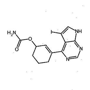 NC(=O)OC1C=C(c2ncnc3[nH]cc(I)c23)CCC1